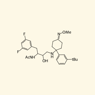 CON=C1CCC(NCC(O)C(Cc2cc(F)cc(F)c2)NC(C)=O)(c2cccc(C(C)(C)C)c2)CC1